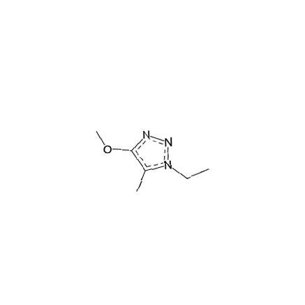 CCn1nnc(OC)c1C